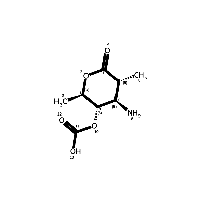 C[C@H]1OC(=O)[C@H](C)[C@@H](N)[C@@H]1OC(=O)O